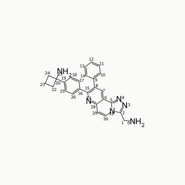 NCc1nnc2c3cc(-c4ccccc4)c(-c4ccc(C5(N)CCC5)cc4)nc3ccn12